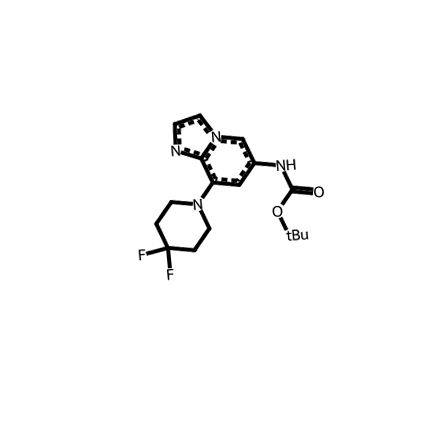 CC(C)(C)OC(=O)Nc1cc(N2CCC(F)(F)CC2)c2nccn2c1